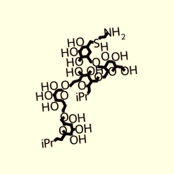 CC(C)CCC1OC(COCCC2OC(OCCC3OC(CC(C)C)C(COCC4OC(CO)C(O)C(O)C4COCC4CC(CSCCN)C(O)C(O)C4O)C(O)C3O)C(O)C(O)C2O)C(O)C(O)C1O